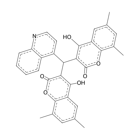 Cc1cc(C)c2oc(=O)c(C(c3c(O)c4cc(C)cc(C)c4oc3=O)c3ccnc4ccccc34)c(O)c2c1